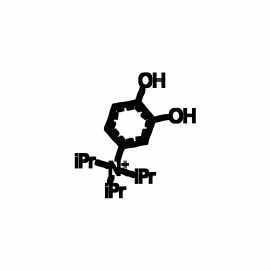 CC(C)[N+](c1ccc(O)c(O)c1)(C(C)C)C(C)C